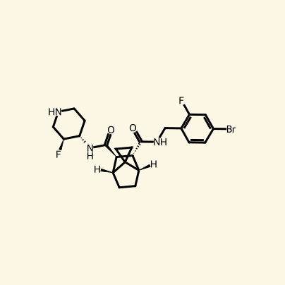 O=C(N[C@H]1CCNC[C@@H]1F)[C@H]1[C@H](C(=O)NCc2ccc(Br)cc2F)[C@@H]2CC[C@H]1C21CC1